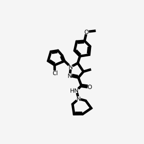 COc1ccc(C2C(C)C(C(=O)NN3CC=CCC3)=NN2c2ccccc2Cl)cc1